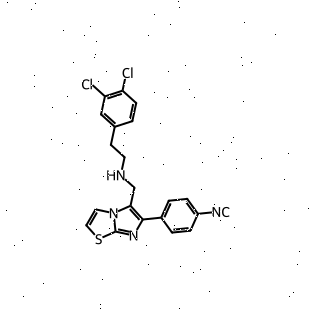 [C-]#[N+]c1ccc(-c2nc3sccn3c2CNCCc2ccc(Cl)c(Cl)c2)cc1